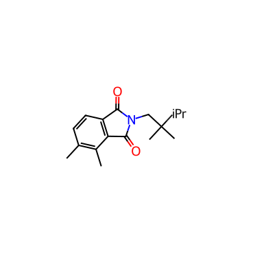 Cc1ccc2c(c1C)C(=O)N(CC(C)(C)C(C)C)C2=O